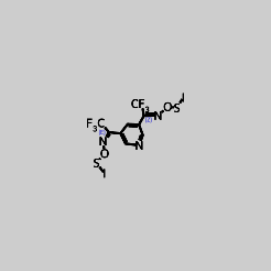 FC(F)(F)/C(=N\OSI)c1cncc(/C(=N\OSI)C(F)(F)F)c1